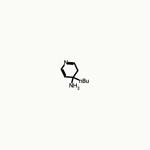 CCCCC1(N)C=CN=CC1